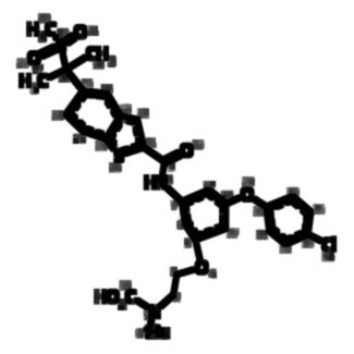 CC(C)(C)N(CCOc1cc(NC(=O)c2cc3cc(C(C)(C)S(C)(=O)=O)ccc3s2)cc(Oc2ccc(Cl)cc2)c1)C(=O)O